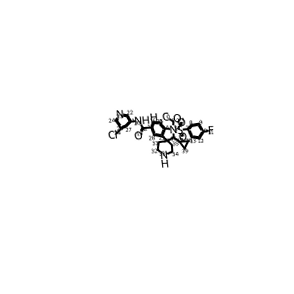 CC(=O)[N+]1(S(=O)(=O)c2ccc(F)cc2)c2ccc(C(=O)Nc3cncc(Cl)c3)cc2C2(CCNCC2)C1C1CC1